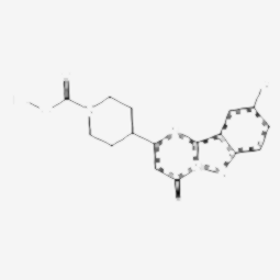 CC(C)(C)OC(=O)N1CCC(c2cc(=O)n3nc4ccc(Br)cc4c3[nH]2)CC1